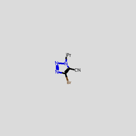 CC(C)n1nnc(Br)c1C#N